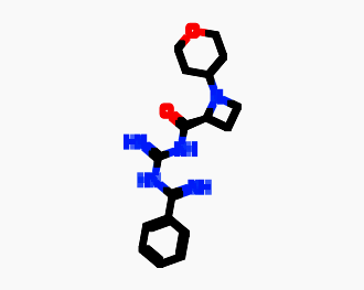 N=C(NC(=N)c1ccccc1)NC(=O)[C@@H]1CCN1C1CCOCC1